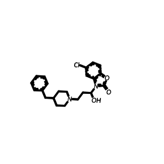 O=c1oc2ccc(Cl)cc2n1C(O)CCN1CCC(Cc2ccccc2)CC1